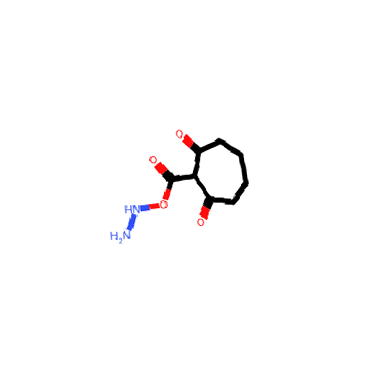 NNOC(=O)[C]1C(=O)CCCCC1=O